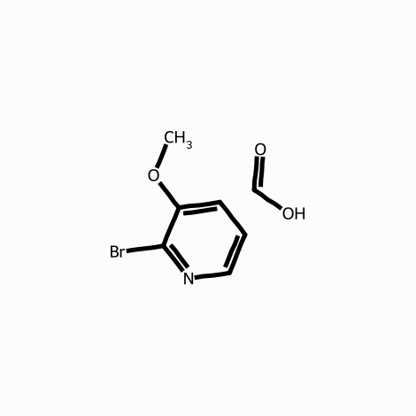 COc1cccnc1Br.O=CO